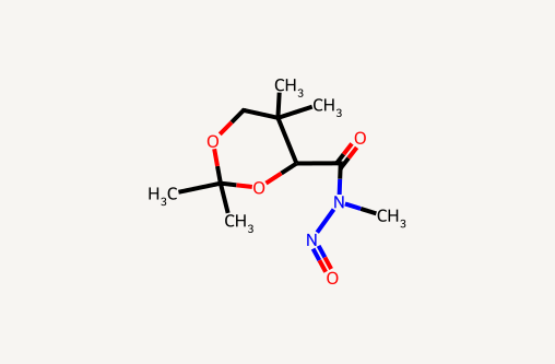 CN(N=O)C(=O)C1OC(C)(C)OCC1(C)C